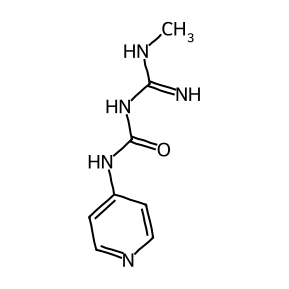 CNC(=N)NC(=O)Nc1ccncc1